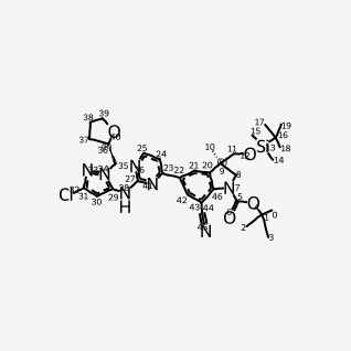 CC(C)(C)OC(=O)N1C[C@](C)(CO[Si](C)(C)C(C)(C)C)c2cc(-c3ccnc(Nc4cc(Cl)nn4C[C@H]4CCCO4)n3)cc(C#N)c21